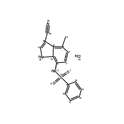 Cc1ccc(NS(=O)(=O)c2ccccc2)c2[nH]cc(C#N)c12.Cl